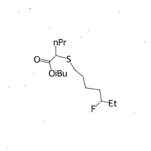 CCCC(SCCCCC(F)CC)C(=O)OCC(C)C